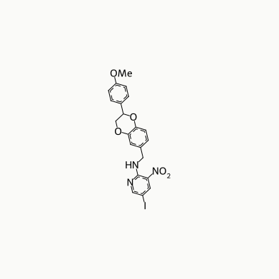 COc1ccc(C2COc3cc(CNc4ncc(I)cc4[N+](=O)[O-])ccc3O2)cc1